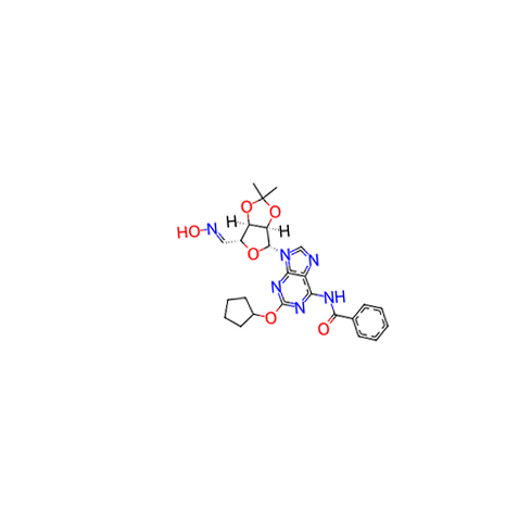 CC1(C)O[C@@H]2[C@H](O1)[C@@H](/C=N/O)O[C@H]2n1cnc2c(NC(=O)c3ccccc3)nc(OC3CCCC3)nc21